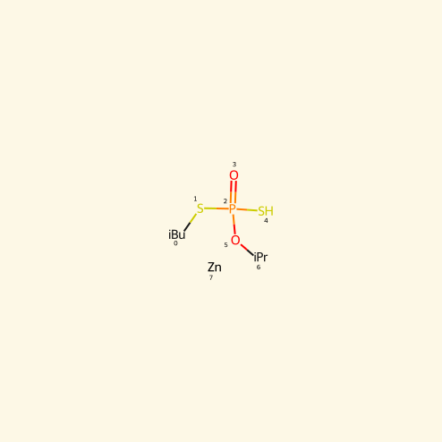 CCC(C)SP(=O)(S)OC(C)C.[Zn]